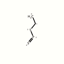 CCSP=S